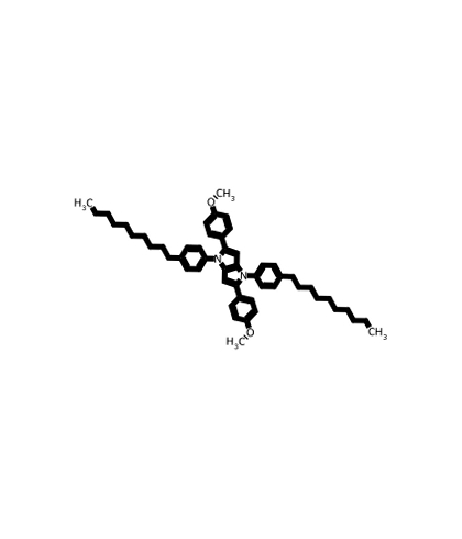 CCCCCCCCCCc1ccc(-n2c(-c3ccc(OC)cc3)cc3c2cc(-c2ccc(OC)cc2)n3-c2ccc(CCCCCCCCCC)cc2)cc1